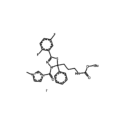 C[n+]1ccn(C(=O)N2N=C(c3cc(F)ccc3F)SC2(CCCNC(=O)OC(C)(C)C)c2ccccc2)c1.[I-]